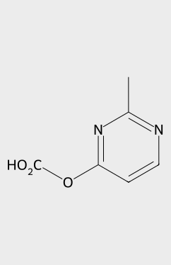 Cc1nccc(OC(=O)O)n1